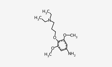 CCN(CC)CCCOc1c(OC)cc(N)cc1OC